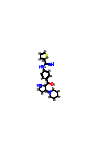 N=C(Nc1ccc(C(=O)C2NCCC2N2CCCCC2)cc1)c1cccs1